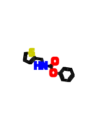 O=C(NCc1cccs1)Oc1ccccc1